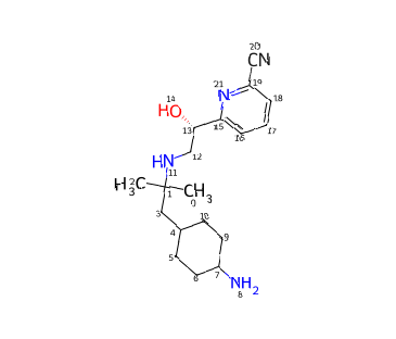 CC(C)(CC1CCC(N)CC1)NC[C@H](O)c1cccc(C#N)n1